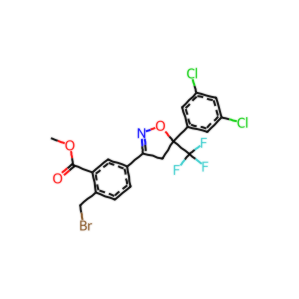 COC(=O)c1cc(C2=NOC(c3cc(Cl)cc(Cl)c3)(C(F)(F)F)C2)ccc1CBr